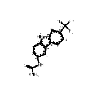 NC(=S)Nc1ccc2[nH]c3cc(C(F)(F)F)ccc3c2c1